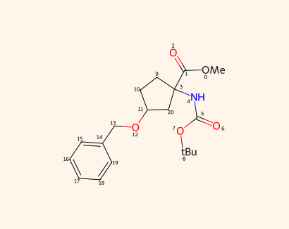 COC(=O)C1(NC(=O)OC(C)(C)C)CCC(OCc2ccccc2)C1